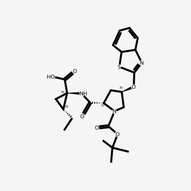 CC[C@@H]1C[C@]1(NC(=O)[C@@H]1C[C@@H](OC2=NC3C=CC=CC3S2)CN1C(=O)OC(C)(C)C)C(=O)O